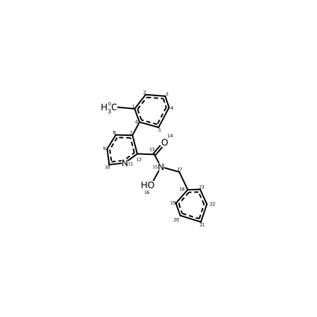 Cc1ccccc1-c1cccnc1C(=O)N(O)Cc1ccccc1